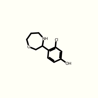 Oc1ccc(C2COCCCN2)c(Cl)c1